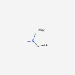 C[CH]CN(C)C.[NaH]